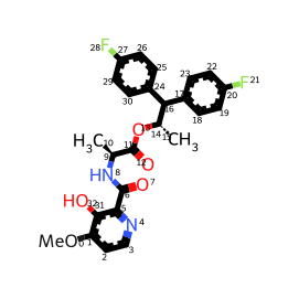 COc1ccnc(C(=O)N[C@@H](C)C(=O)O[C@@H](C)C(c2ccc(F)cc2)c2ccc(F)cc2)c1O